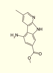 COC(=O)c1cc(N)c2c(c1)[nH]c1ncc(C)cc12